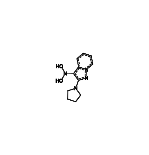 ON(O)c1c(N2CCCC2)nn2ccccc12